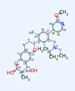 CCN(Cc1cc(C2CCc3ccc([C@H](O)[C@H](C)C(=O)O)cc3O2)c(F)cc1-c1ccnc(OC)c1)C(C)C